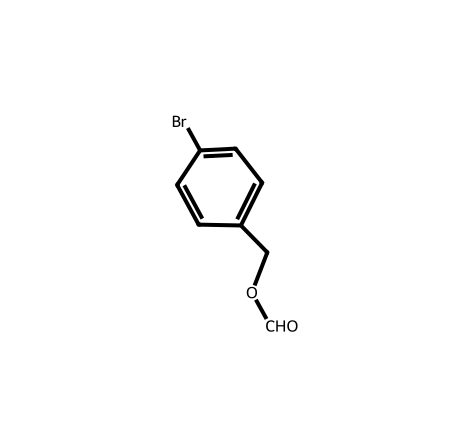 O=COCc1ccc(Br)cc1